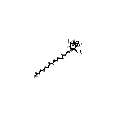 CC1=C(OCCCCCCCCCCCCCCCBr)CCC(C)(C)C1=O